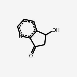 O=C1CC(O)c2cccnc21